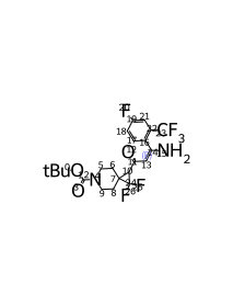 CC(C)(C)OC(=O)N1CCC2(CC1)C(C(=O)/C=C(/N)c1ccc(F)cc1C(F)(F)F)C2(F)F